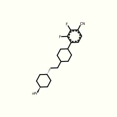 CCC[C@H]1CC[C@H](CCC2CCC(c3ccc(C#N)c(F)c3F)CC2)CC1